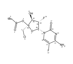 CC(C)(C)C(=O)O[C@]1(CCl)O[C@@H](n2cc(F)c(N)nc2=O)[C@@H](F)[C@@H]1O